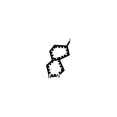 Ic1ccc2cnncc2c1